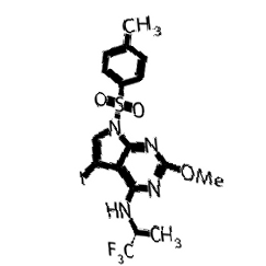 COc1nc(N[C@H](C)C(F)(F)F)c2c(I)cn(S(=O)(=O)c3ccc(C)cc3)c2n1